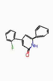 O=c1cc(-c2ccccc2F)cc(-c2ccccc2)[nH]1